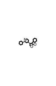 c1ccc(-c2cc(-c3coc4oc5ccccc5c34)ccn2)cc1